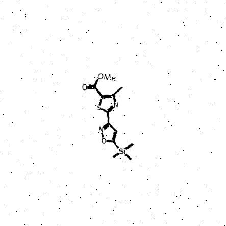 COC(=O)c1sc(-c2cc([Si](C)(C)C)on2)nc1C